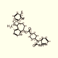 CN(C)C1c2cccnc2[C@H](OC(=O)N2CCC(n3c(=O)[nH]c4ncccc43)CC2)CC[C@H]1c1cccc(F)c1F